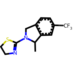 CC1c2cc(C(F)(F)F)ccc2CN1C1=NCCS1